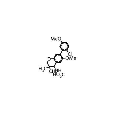 COc1ccc(Cl)c(-c2cc3c(cc2OC)C(NC(=O)O)C(C)(C)CO3)c1